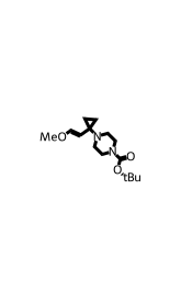 CO/C=C/C1(N2CCN(C(=O)OC(C)(C)C)CC2)CC1